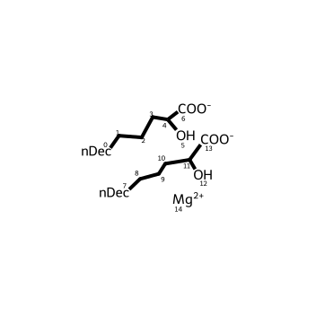 CCCCCCCCCCCCCC(O)C(=O)[O-].CCCCCCCCCCCCCC(O)C(=O)[O-].[Mg+2]